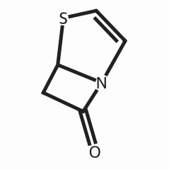 O=C1CC2SC=CN12